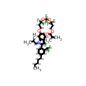 C=C(C)C(=O)OCCC(F)(F)OC(F)(F)OC(F)(F)CCOc1ccc2cc(-c3ccc(CCCCC)cc3C(F)(F)F)n(CC(C)C)c2c1